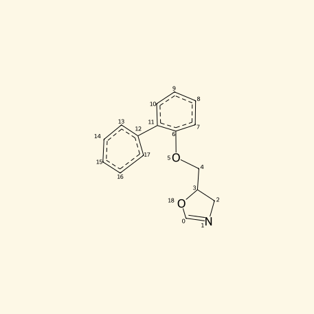 C1=NCC(COc2ccccc2-c2ccccc2)O1